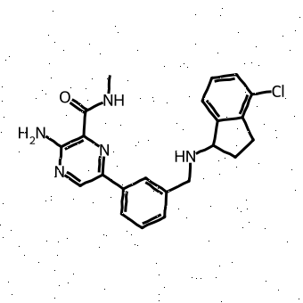 CNC(=O)c1nc(-c2cccc(CNC3CCc4c(Cl)cccc43)c2)cnc1N